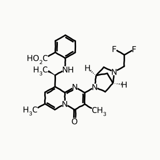 Cc1cc([C@@H](C)Nc2ccccc2C(=O)O)c2nc(N3C[C@H]4C[C@@H]3CN4CC(F)F)c(C)c(=O)n2c1